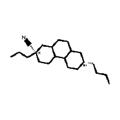 CCCC[C@@H]1CCC2C(CCC3C[C@](C#N)(CCC)CCC32)C1